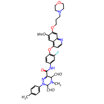 COc1cc2c(Oc3ccc(NC(=O)C4=NN(c5ccc(C)cc5)C(C=O)N(C)C4C=O)cc3F)ccnc2cc1OCCCN1CCOCC1